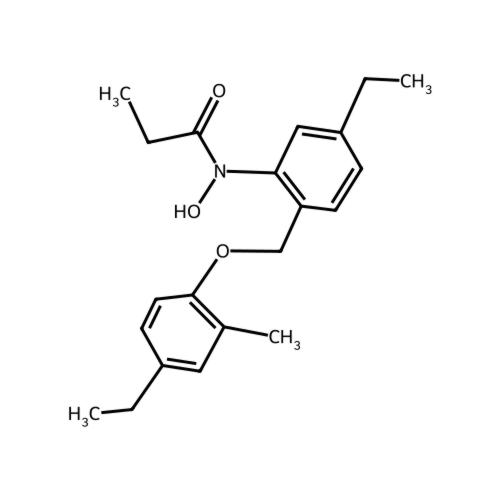 CCC(=O)N(O)c1cc(CC)ccc1COc1ccc(CC)cc1C